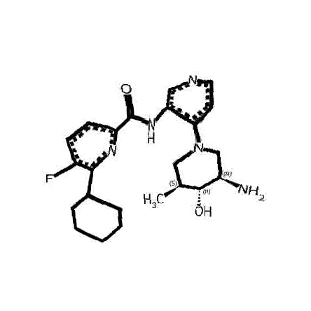 C[C@H]1CN(c2ccncc2NC(=O)c2ccc(F)c(C3CCCCC3)n2)C[C@@H](N)[C@@H]1O